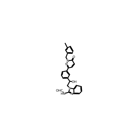 Cc1cccc(Cn2nc(-c3cccc(C(O)Cn4c(NC=O)nc5ccccc54)c3)ccc2=O)c1